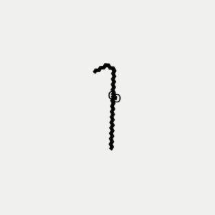 CCCCC/C=C\C/C=C\CCCCCCCCOC(=O)C=CCCCCCCCCCCCCCCCCC